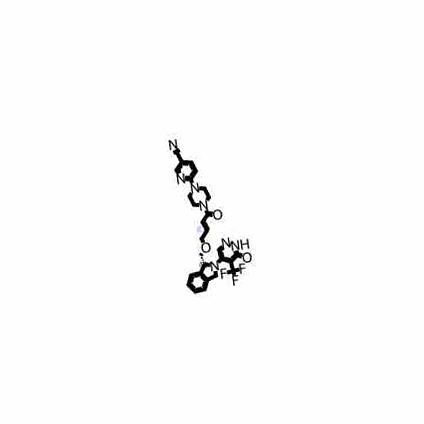 N#Cc1ccc(N2CCN(C(=O)/C=C/COC[C@H]3c4ccccc4CN3c3cn[nH]c(=O)c3C(F)(F)F)CC2)nc1